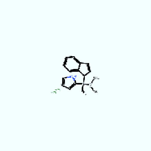 C[SiH](C)[Ti]([CH3])([c]1ccc[nH]1)[CH]1C=Cc2ccccc21.Cl.Cl